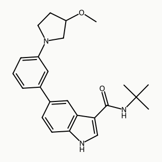 COC1CCN(c2cccc(-c3ccc4[nH]cc(C(=O)NC(C)(C)C)c4c3)c2)C1